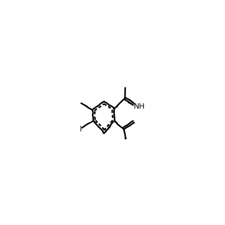 C=C(C)c1cc(I)c(C)cc1C(C)=N